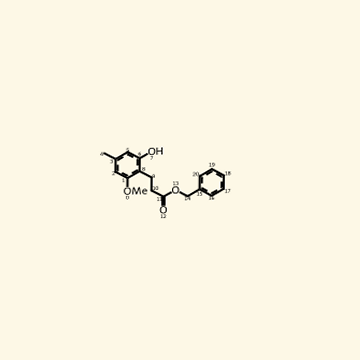 COc1cc(C)cc(O)c1CCC(=O)OCc1ccccc1